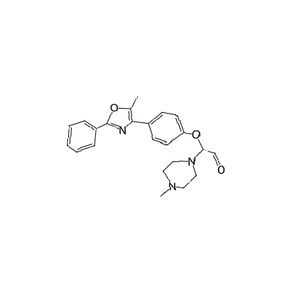 Cc1oc(-c2ccccc2)nc1-c1ccc(OC(C=O)N2CCN(C)CC2)cc1